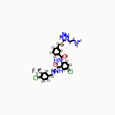 CN(C)CCn1nnnc1SCc1cccc(C(=O)Nc2ccc(Cl)cc2C(=O)N/N=C/c2ccc(Cl)c(C(F)(F)F)c2)c1